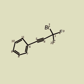 FC(F)(Br)C#Cc1ccccc1